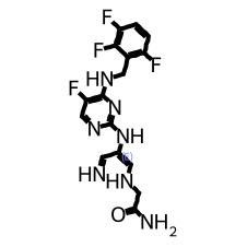 N=C/C(=C\NCC(N)=O)Nc1ncc(F)c(NCc2c(F)ccc(F)c2F)n1